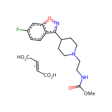 COC(=O)NCCN1CCC(c2noc3cc(F)ccc23)CC1.O=C(O)/C=C/C(=O)O